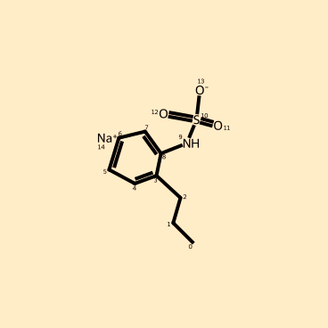 CCCc1ccccc1NS(=O)(=O)[O-].[Na+]